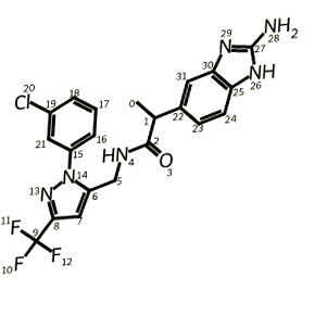 CC(C(=O)NCc1cc(C(F)(F)F)nn1-c1cccc(Cl)c1)c1ccc2[nH]c(N)nc2c1